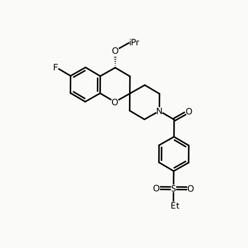 CCS(=O)(=O)c1ccc(C(=O)N2CCC3(CC2)C[C@@H](OC(C)C)c2cc(F)ccc2O3)cc1